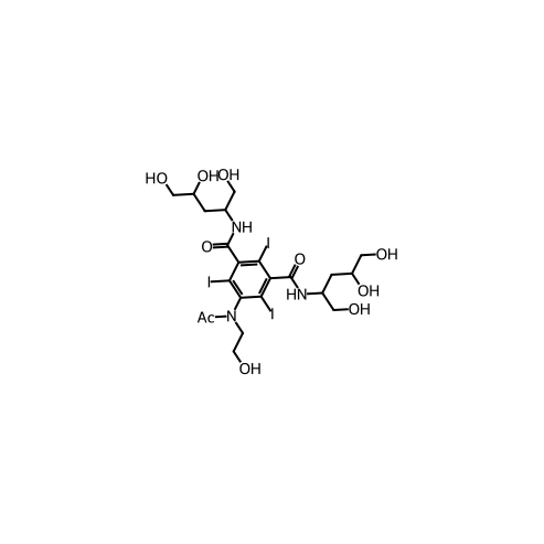 CC(=O)N(CCO)c1c(I)c(C(=O)NC(CO)CC(O)CO)c(I)c(C(=O)NC(CO)CC(O)CO)c1I